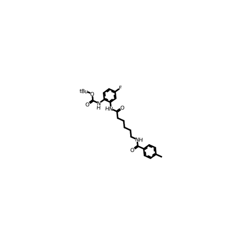 Cc1ccc(C(=O)NCCCCCC(=O)Nc2cc(F)ccc2NC(=O)OC(C)(C)C)cc1